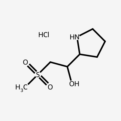 CS(=O)(=O)CC(O)C1CCCN1.Cl